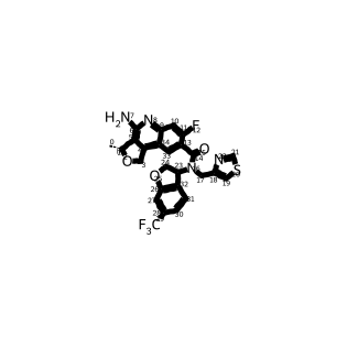 C[C@H]1OCc2c1c(N)nc1cc(F)c(C(=O)N(Cc3cscn3)C3COc4cc(C(F)(F)F)ccc43)cc21